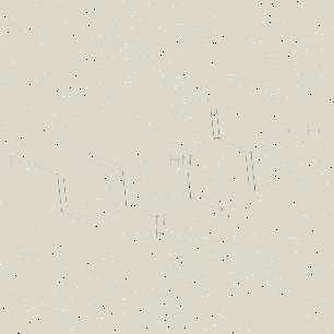 CCOC(=O)c1cnc(Nc2ccc(Br)cc2)[nH]c1=O